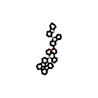 c1ccc(N(c2ccc3c(c2)C2(c4ccccc4-c4ccccc42)c2ccccc2-3)c2ccccc2-c2ccc(-c3ccc4c(c3)c3ccccc3n4-c3cccc4c3sc3ccccc34)cc2)cc1